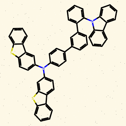 c1cc(-c2ccc(N(c3ccc4c(c3)sc3ccccc34)c3ccc4sc5ccccc5c4c3)cc2)cc(-c2ccccc2-n2c3ccccc3c3ccccc32)c1